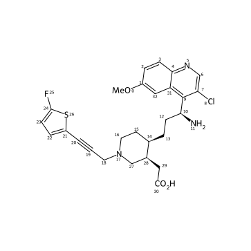 COc1ccc2ncc(Cl)c([C@@H](N)CC[C@@H]3CCN(CC#Cc4ccc(F)s4)C[C@@H]3CC(=O)O)c2c1